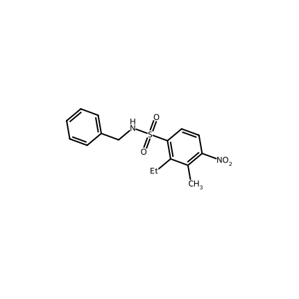 CCc1c(S(=O)(=O)NCc2ccccc2)ccc([N+](=O)[O-])c1C